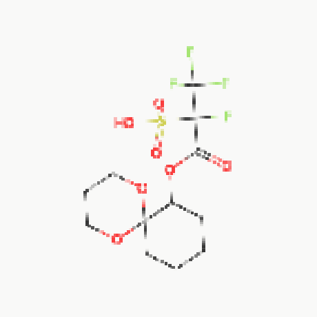 O=C(OC1CCCCC12OCCCO2)C(F)(C(F)(F)F)S(=O)(=O)O